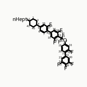 CCCCCCCC1CCC(c2ccc(-c3cc(F)c(C(F)(F)Oc4ccc(-c5cc(F)c(F)c(F)c5)c(F)c4)c(F)c3)c(F)c2)CC1